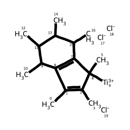 CC1=C(C)[C](C)([Ti+3])C2=C1C(C)C(C)C(C)C2C.[Cl-].[Cl-].[Cl-]